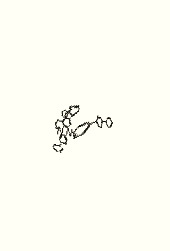 c1ccc(-c2ccc(-c3ccc(N(c4ccc(-c5ccccc5)cc4)c4cc5c6ccccc6oc5c5cccnc45)cc3)cc2)cc1